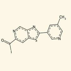 Cc1cncc(-c2nc3cnc(C(=O)I)cc3s2)c1